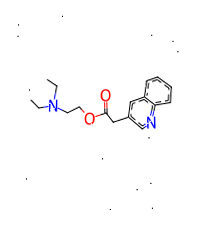 CCN(CC)CCOC(=O)Cc1cnc2ccccc2c1